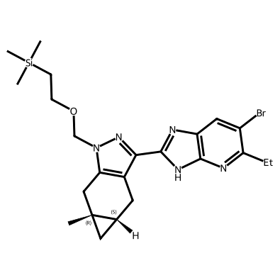 CCc1nc2[nH]c(-c3nn(COCC[Si](C)(C)C)c4c3C[C@@H]3C[C@]3(C)C4)nc2cc1Br